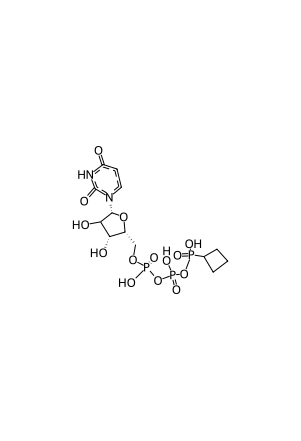 O=c1ccn([C@@H]2O[C@H](COP(=O)(O)OP(=O)(O)OP(=O)(O)C3CCC3)[C@H](O)C2O)c(=O)[nH]1